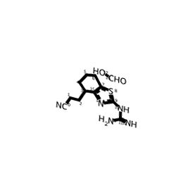 N#CCCC1CCCc2sc(NC(=N)N)nc21.O=CO